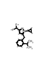 CC(C)c1ccccc1Cc1cc(C(F)F)nn1C1CC1